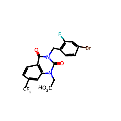 O=C(O)Cn1c(=O)n(Cc2ccc(Br)cc2F)c(=O)c2ccc(C(F)(F)F)cc21